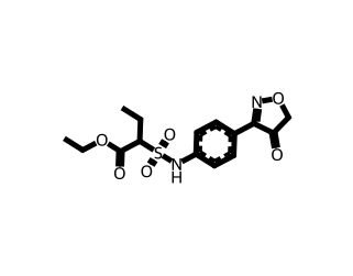 CCOC(=O)C(CC)S(=O)(=O)Nc1ccc(C2=NOCC2=O)cc1